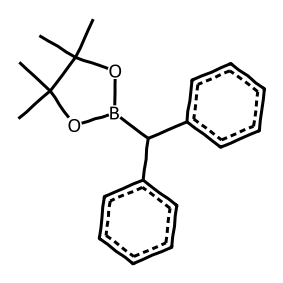 CC1(C)OB(C(c2ccccc2)c2ccccc2)OC1(C)C